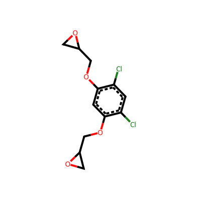 Clc1cc(Cl)c(OCC2CO2)cc1OCC1CO1